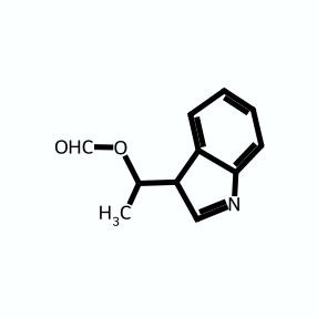 CC(OC=O)C1C=Nc2ccccc21